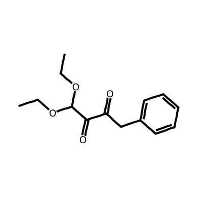 CCOC(OCC)C(=O)C(=O)Cc1ccccc1